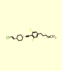 C=CCCCc1cc(F)c(C#C[C@H]2CC[C@H](C=CCl)CC2)c(F)c1